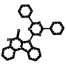 O=c1[nH]c2ccccc2c2c3ccccc3n(-c3nc(-c4ccccc4)nc(-c4ccccc4)n3)c12